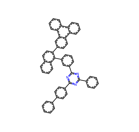 c1ccc(-c2ccc(-c3nc(-c4ccccc4)nc(-c4cccc(-c5c(-c6ccc7c8ccccc8c8ccccc8c7c6)ccc6ccccc56)c4)n3)cc2)cc1